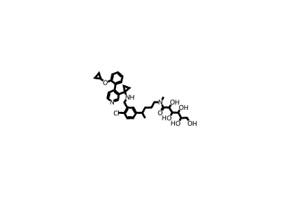 CC(CCCN(C)C(=O)C(O)C(O)C(O)C(O)CO)c1ccc(Cl)c(CNC2(c3cnccc3-c3ccccc3OC3CC3)CC2)c1